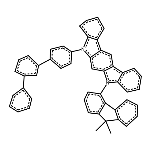 CC1(C)c2ccccc2-c2c(-n3c4ccccc4c4cc5c6ccccc6n(-c6ccc(-c7cccc(-c8ccccc8)c7)cc6)c5cc43)cccc21